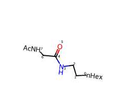 CCCCCCCCNC(=O)CNC(C)=O